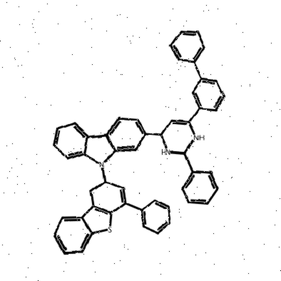 C1=C(c2cccc(-c3ccccc3)c2)NC(c2ccccc2)NC1c1ccc2c3ccccc3n(C3C=C(c4ccccc4)c4sc5ccccc5c4C3)c2c1